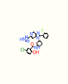 O=C(N[C@H]1CCC[C@@H](n2c(-c3ccccc3F)nc3cnc(-c4nc[nH]n4)cc32)C1)c1cc(Cl)ccc1O